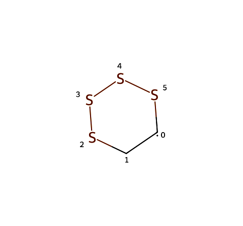 [CH]1CSSSS1